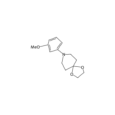 COc1cccc(N2CCC3(CC2)OCCO3)c1